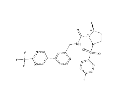 O=C(NCc1cc(-c2cnc(C(F)(F)F)nc2)ccn1)[C@@H]1[C@@H](F)CCN1S(=O)(=O)c1ccc(F)cc1